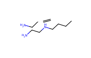 C=C.CCCCNCCN.[CH2]CN